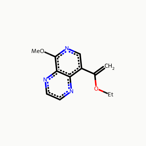 C=C(OCC)c1cnc(OC)c2nccnc12